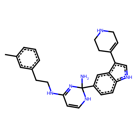 Cc1cccc(CCNC2=NC(N)(c3ccc4[nH]cc(C5=CCNCC5)c4c3)NC=C2)c1